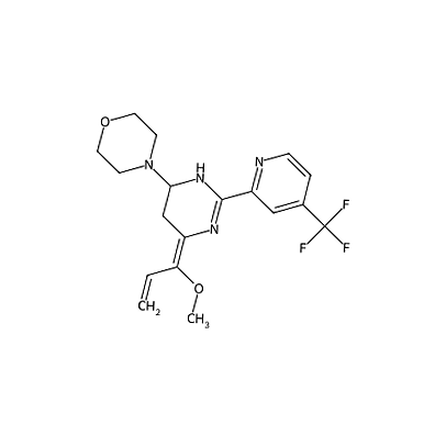 C=C/C(OC)=C1\CC(N2CCOCC2)NC(c2cc(C(F)(F)F)ccn2)=N1